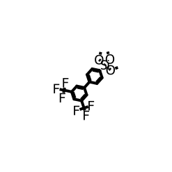 CO[Si](OC)(OC)c1ccc(-c2cc(C(F)(F)F)cc(C(F)(F)F)c2)cc1